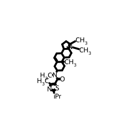 Cc1nc(C(C)C)sc1C(=O)N(C)C1CCC2(C)C(=CCC3C2CCC24CN(C)C(C)C2CCC34)C1